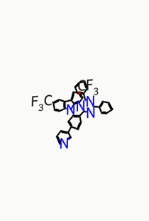 FC(F)(F)c1ccc2c(c1)c1cc(C(F)(F)F)ccc1n2-c1cc(-c2cccnc2)ccc1-c1nc(-c2ccccc2)nc(-c2ccccc2)n1